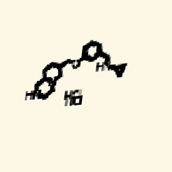 Cl.Cl.c1cc(CNC2CC2)cc(OCC2CCC3CNCCN3C2)c1